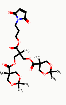 CC1(C)OCC(C)(C(=O)OCC(C)(COC(=O)C2(C)COC(C)(C)OC2)C(=O)OCCCN2C(=O)C=CC2=O)CO1